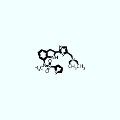 CCN(CC)Cc1cnc(C2Cc3cccc(N(C)S(=O)(=O)c4cccs4)c3N2)s1